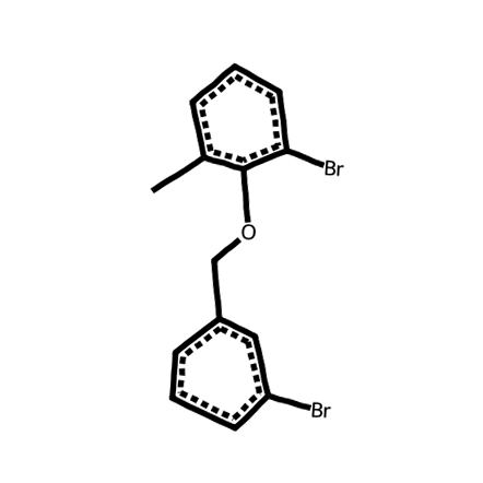 Cc1cccc(Br)c1OCc1cccc(Br)c1